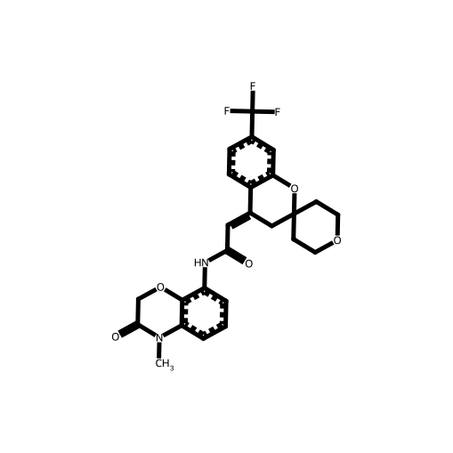 CN1C(=O)COc2c(NC(=O)/C=C3\CC4(CCOCC4)Oc4cc(C(F)(F)F)ccc43)cccc21